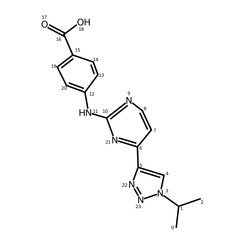 CC(C)n1cc(-c2ccnc(Nc3ccc(C(=O)O)cc3)n2)nn1